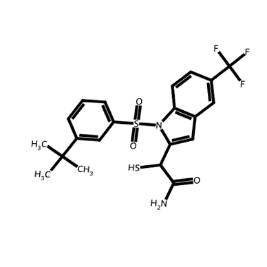 CC(C)(C)c1cccc(S(=O)(=O)n2c(C(S)C(N)=O)cc3cc(C(F)(F)F)ccc32)c1